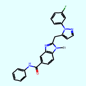 CCn1c(Cc2ccnn2-c2cccc(F)c2)nc2cc(C(=O)Nc3ccccc3)ccc21